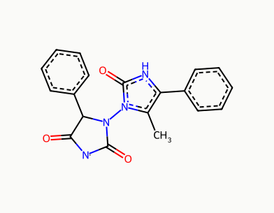 Cc1c(-c2ccccc2)[nH]c(=O)n1N1C(=O)[N]C(=O)C1c1ccccc1